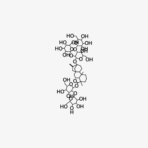 C=C1CC23CCC4C(C)(C(=O)OC5OC(CO)C(O)C(O)C5OC5OC(CO)C(O)C(O)C5O)CCCC4(C)C2CCC1(OC1OC(CO)C(O)C(OC2OC(CO)C(O)C(O)C2O)C1OC1OC(CO)C(O)C(O)C1O)C3